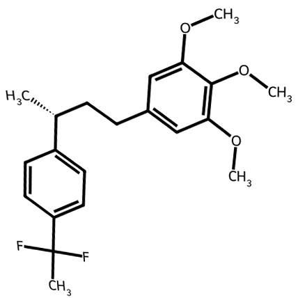 COc1cc(CC[C@@H](C)c2ccc(C(C)(F)F)cc2)cc(OC)c1OC